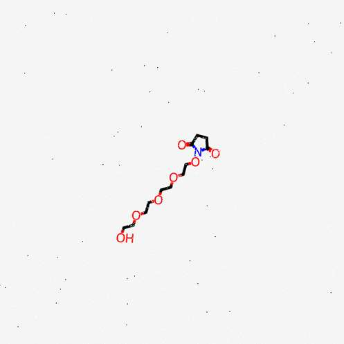 O=C1CCC(=O)N1OCCOCCOCCOCCO